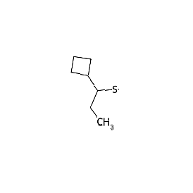 CCC([S])C1CCC1